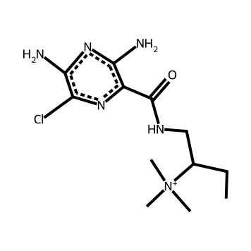 CCC(CNC(=O)c1nc(Cl)c(N)nc1N)[N+](C)(C)C